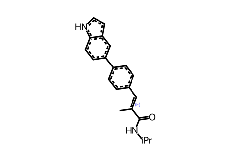 C/C(=C\c1ccc(-c2ccc3[nH]ccc3c2)cc1)C(=O)NC(C)C